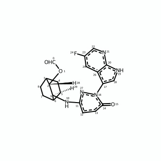 O=CO[C@H]1C2CCC(CC2)[C@@H]1Nc1ccc(=O)n(-c2c[nH]c3ncc(F)cc23)n1